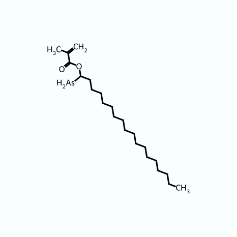 C=C(C)C(=O)OC([AsH2])CCCCCCCCCCCCCCCCC